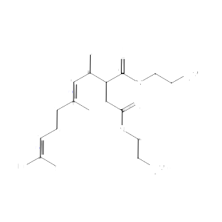 CC/C(C)=C/CC/C(C)=C/C(C)C(CC(=O)NCCOC)C(=O)NCCOC